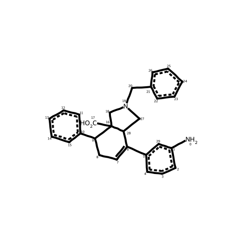 Nc1cccc(C2=CCC(c3ccccc3)C3(C(=O)O)CN(Cc4ccccc4)CC23)c1